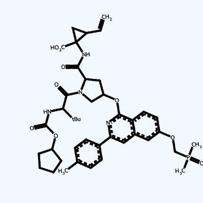 C=CC1CC1(NC(=O)C1CC(Oc2nc(-c3ccc(C)cc3)cc3cc(OCP(C)(C)=O)ccc23)CN1C(=O)C(NC(=O)OC1CCCC1)C(C)(C)C)C(=O)O